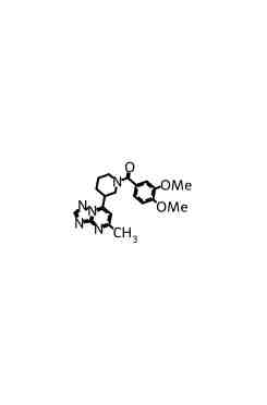 COc1ccc(C(=O)N2CCCC(c3cc(C)nc4ncnn34)C2)cc1OC